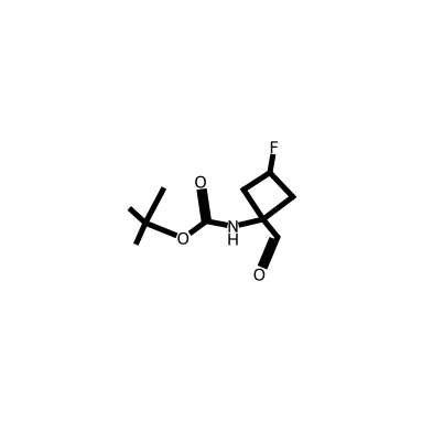 CC(C)(C)OC(=O)NC1(C=O)CC(F)C1